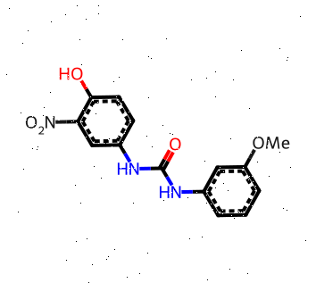 COc1cccc(NC(=O)Nc2ccc(O)c([N+](=O)[O-])c2)c1